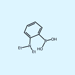 CCN(CC)c1ccccc1B(O)O